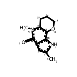 Cc1cc2c(=O)n(C)c3c(c2[nH]1)OCCC3